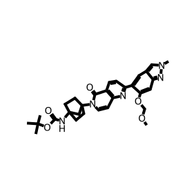 COCOc1cc2nn(C)cc2cc1-c1ccc2c(=O)n(C34CCC(NC(=O)OC(C)(C)C)(CC3)C4)ccc2n1